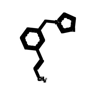 [CH2]C=Cc1cccc(Cn2ccnc2)c1